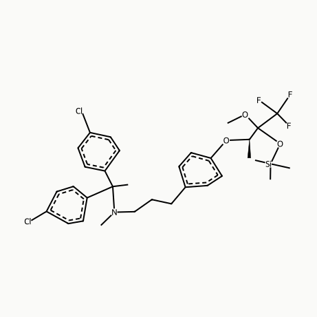 COC(O[Si](C)(C)C)([C@@H](C)Oc1ccc(CCCN(C)C(C)(c2ccc(Cl)cc2)c2ccc(Cl)cc2)cc1)C(F)(F)F